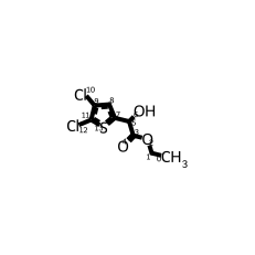 CCOC(=O)C(O)c1cc(Cl)c(Cl)s1